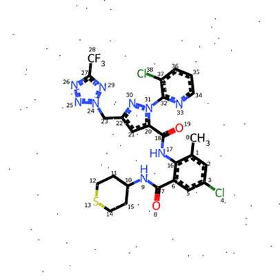 Cc1cc(Cl)cc(C(=O)NC2CCSCC2)c1NC(=O)c1cc(Cn2nnc(C(F)(F)F)n2)nn1-c1ncccc1Cl